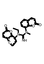 CCN(C(=N)N(C)c1cccc2ccc(=O)oc12)c1cccc2ccc(=O)oc12